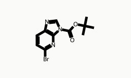 CC(C)(C)OC(=O)n1cnc2ccc(Br)nc21